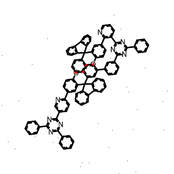 c1ccc(-c2nc(-c3ccccc3)nc(-c3ccc(-c4ccc5c(c4)C4(c6cc(-c7cccc(-c8nc(-c9ccccc9)nc(-c9cccnc9-c9ccc%10c(c9)C9(c%11ccccc%11O%10)c%10ccccc%10-c%10ccccc%109)n8)c7)ccc6O5)c5ccccc5-c5ccccc54)nc3)n2)cc1